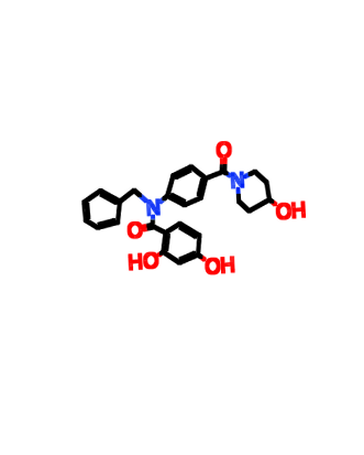 O=C(c1ccc(N(Cc2ccccc2)C(=O)c2ccc(O)cc2O)cc1)N1CCC(O)CC1